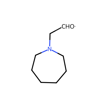 O=[C]CN1CCCCCC1